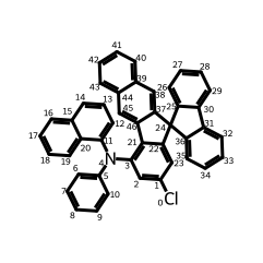 Clc1cc(N(c2ccccc2)c2cccc3ccccc23)c2c(c1)C1(c3ccccc3-c3ccccc31)c1cc3ccccc3cc1-2